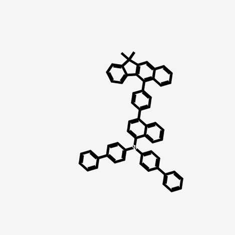 CC1(C)c2ccccc2-c2c1cc1ccccc1c2-c1ccc(-c2ccc(N(c3ccc(-c4ccccc4)cc3)c3ccc(-c4ccccc4)cc3)c3ccccc23)cc1